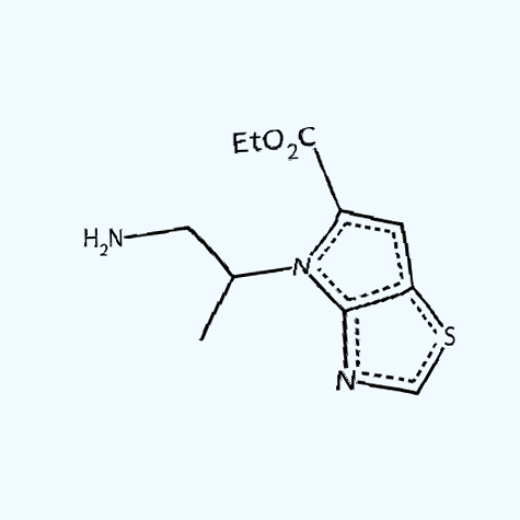 CCOC(=O)c1cc2scnc2n1C(C)CN